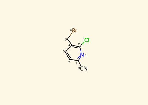 N#Cc1ccc(CBr)c(Cl)n1